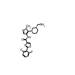 Cn1ncc(NC(=O)c2csc(-c3c(F)cccc3F)n2)c1N1CCC[C@H](CN)C1